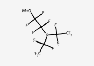 COC(F)(F)C(F)(F)N(C(F)(F)C(F)(F)F)C(F)(F)C(F)(F)F